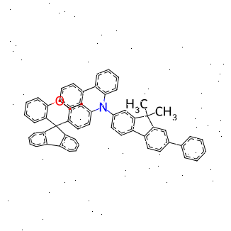 CC1(C)c2cc(-c3ccccc3)ccc2-c2ccc(N(c3ccc4c(c3)Oc3ccccc3C43c4ccccc4-c4ccccc43)c3ccccc3-c3ccccc3)cc21